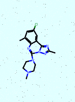 Cc1nc2c3cc(Cl)cc(C)c3nc(N3CCN(C)CC3)n2n1